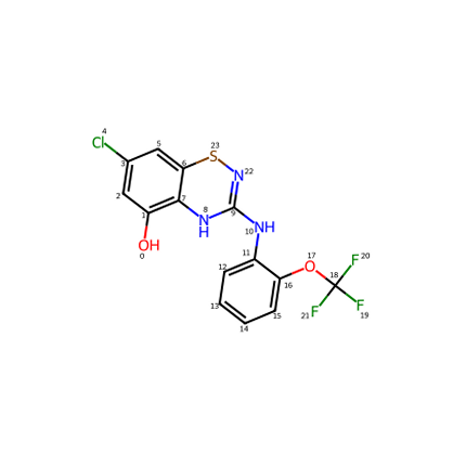 Oc1cc(Cl)cc2c1NC(Nc1ccccc1OC(F)(F)F)=NS2